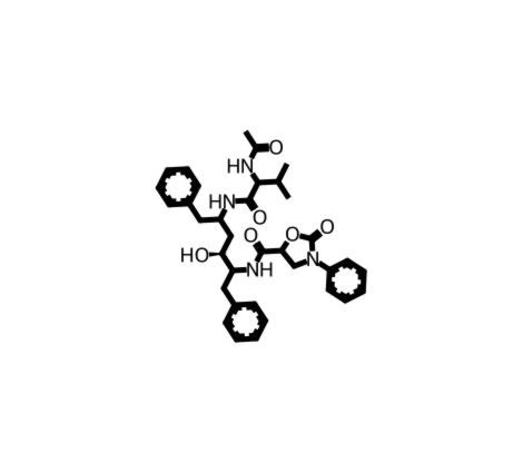 CC(=O)NC(C(=O)NC(Cc1ccccc1)C[C@H](O)C(Cc1ccccc1)NC(=O)C1CN(c2ccccc2)C(=O)O1)C(C)C